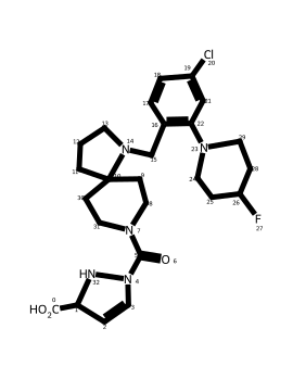 O=C(O)C1C=CN(C(=O)N2CCC3(CCCN3Cc3ccc(Cl)cc3N3CCC(F)CC3)CC2)N1